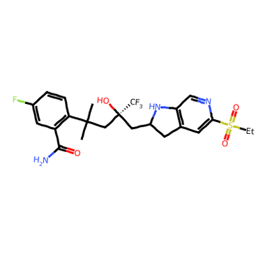 CCS(=O)(=O)c1cc2c(cn1)NC(C[C@](O)(CC(C)(C)c1ccc(F)cc1C(N)=O)C(F)(F)F)C2